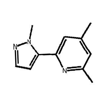 Cc1cc(C)nc(-c2ccnn2C)c1